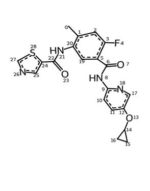 Cc1cc(F)c(C(=O)Nc2ccc(OC3CC3)cn2)cc1NC(=O)c1cncs1